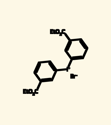 CCOC(=O)c1cccc([I+]c2cccc(C(=O)OCC)c2)c1.[Br-]